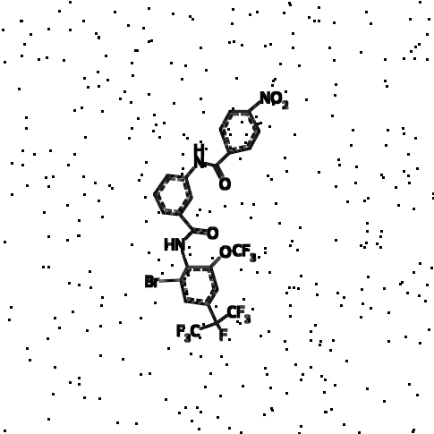 O=C(Nc1cccc(C(=O)Nc2c(Br)cc(C(F)(C(F)(F)F)C(F)(F)F)cc2OC(F)(F)F)c1)c1ccc([N+](=O)[O-])cc1